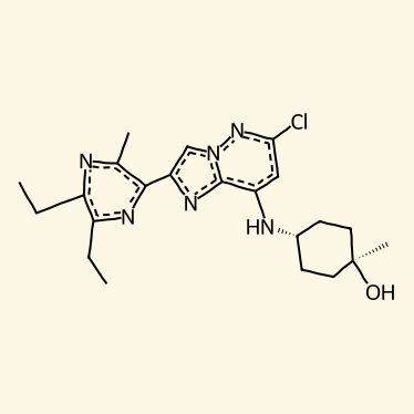 CCc1nc(C)c(-c2cn3nc(Cl)cc(N[C@H]4CC[C@](C)(O)CC4)c3n2)nc1CC